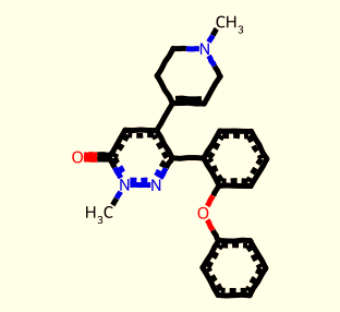 CN1CC=C(c2cc(=O)n(C)nc2-c2ccccc2Oc2ccccc2)CC1